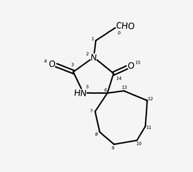 O=CCN1C(=O)NC2(CCCCCCC2)C1=O